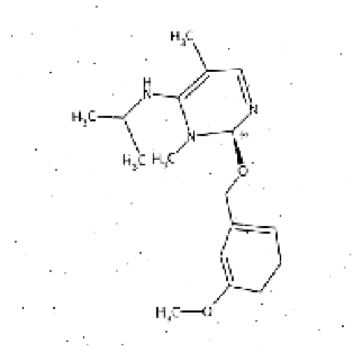 COC1=CC(CO[C@@H]2N=CC(C)=C(NC(C)C)N2C)=CCC1